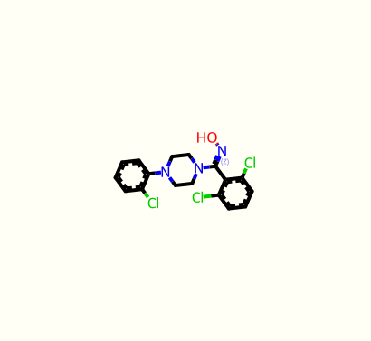 O/N=C(/c1c(Cl)cccc1Cl)N1CCN(c2ccccc2Cl)CC1